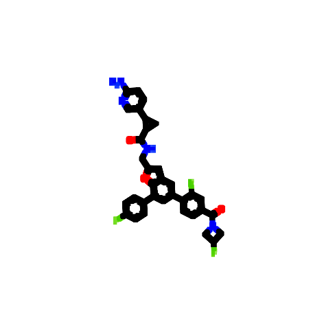 Nc1ccc(C2CC2C(=O)NCc2cc3cc(-c4ccc(C(=O)N5CC(F)C5)cc4F)cc(-c4ccc(F)cc4)c3o2)cn1